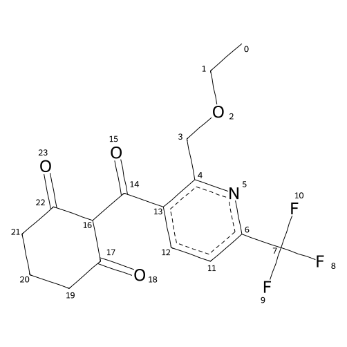 CCOCc1nc(C(F)(F)F)ccc1C(=O)C1C(=O)CCCC1=O